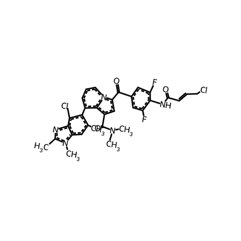 Cc1cc2c(nc(C)n2C)c(Cl)c1-c1cccn2c(C(=O)c3cc(F)c(NC(=O)/C=C/CCl)c(F)c3)cc(C(=O)N(C)C)c12